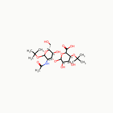 CC(=O)N[C@H]1C(OC(C)(C)C)O[C@H](CO)[C@@H](O)[C@@H]1OC1OC(C(=O)O)[C@@H](OC(C)(C)C)[C@H](O)[C@H]1O